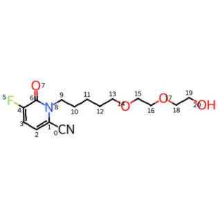 N#Cc1ccc(F)c(=O)n1CCCCCOCCOCCO